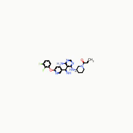 C=CC(=O)N1CCC[C@@H](Nc2ncnc(N)c2C(=N)c2ccc(Oc3cccc(F)c3F)nc2)C1